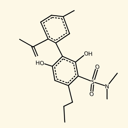 C=C(C)c1ccc(C)cc1-c1c(O)cc(CCC)c(S(=O)(=O)N(C)C)c1O